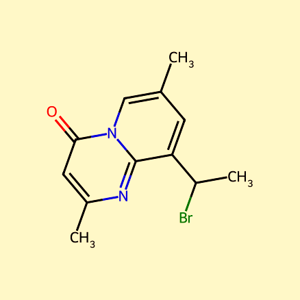 Cc1cc(C(C)Br)c2nc(C)cc(=O)n2c1